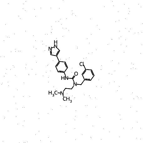 CN(C)CCN(Cc1cccc(Cl)c1)C(=O)Nc1ccc(-c2cn[nH]c2)cc1